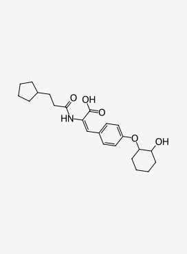 O=C(CCC1CCCC1)N/C(=C/c1ccc(OC2CCCCC2O)cc1)C(=O)O